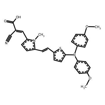 COc1ccc(N(c2ccc(OC)cc2)c2ccc(/C=C/c3ccc(/C=C(\C#N)C(=O)O)n3C)s2)cc1